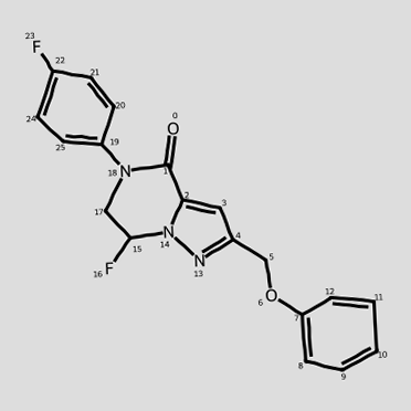 O=C1c2cc(COc3ccccc3)nn2C(F)CN1c1ccc(F)cc1